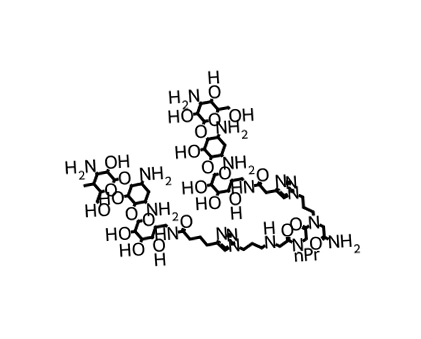 CCCN(CC(=O)N(CCCn1cc(CC(=O)NCC2OC(OC3C(N)CC(N)C(OC4OC(CO)C(O)C(N)C4O)C3O)C(O)C(O)C2O)nn1)CC(N)=O)C(=O)CNCCCn1cc(CCCC(=O)NCC2OC(OC3C(N)CC(N)C(OC4OC(CO)C(C)C(N)C4O)C3O)C(O)C(O)C2O)nn1